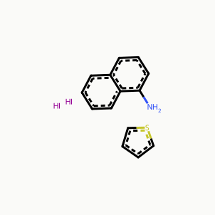 I.I.Nc1cccc2ccccc12.c1ccsc1